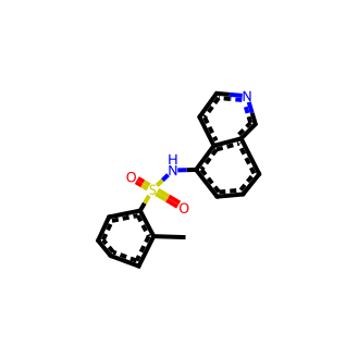 Cc1ccccc1S(=O)(=O)Nc1cccc2cnccc12